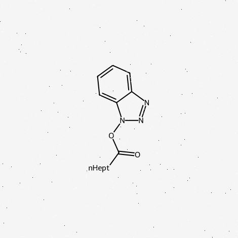 CCCCCCCC(=O)On1nnc2ccccc21